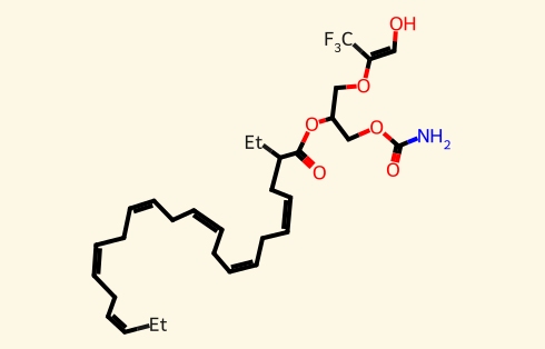 CC/C=C\C/C=C\C/C=C\C/C=C\C/C=C\C/C=C\CC(CC)C(=O)OC(COC(N)=O)CO/C(=C/O)C(F)(F)F